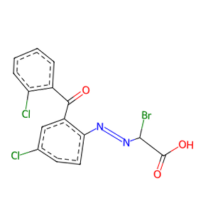 O=C(c1ccccc1Cl)c1cc(Cl)ccc1N=NC(Br)C(=O)O